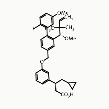 C=CC(C)(C)[C@H](OC)c1cc(COc2cccc([C@H](CC(=O)O)CC3CC3)c2)ccc1-c1cc(OC)ccc1F